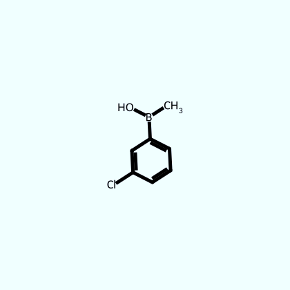 CB(O)c1cccc(Cl)c1